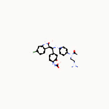 CC(=O)N(CCN(C)C)c1ccc(N/C(=C2\C(=O)Nc3cc(Cl)ccc32)c2ccc3[nH]c(=O)oc3c2)cc1